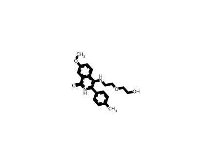 COc1ccc2c(NCCOCCO)c(-c3ccc(C)cc3)[nH]c(=O)c2c1